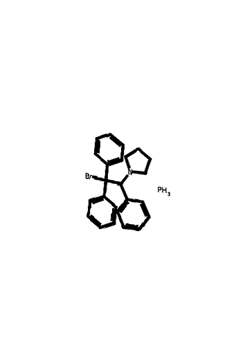 BrC(c1ccccc1)(c1ccccc1)C(c1ccccc1)N1CCCC1.P